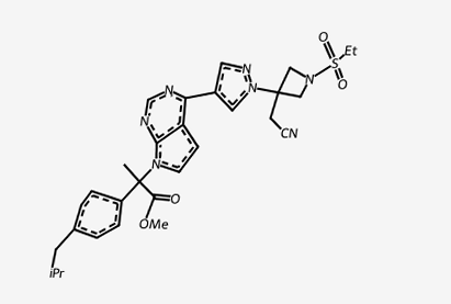 CCS(=O)(=O)N1CC(CC#N)(n2cc(-c3ncnc4c3ccn4C(C)(C(=O)OC)c3ccc(CC(C)C)cc3)cn2)C1